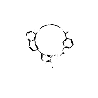 COc1ncc2cc1NS(=O)(=O)c1cccc(c1)C(=O)NCCCCNc1ccnc3ccc-2cc13